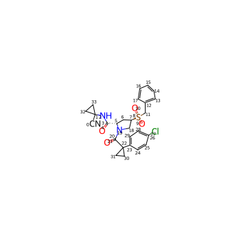 N#CC1(NC(=O)[C@@H]2C[C@@H](S(=O)(=O)Cc3ccccc3)CN2C(=O)C2(c3ccc(Cl)cc3)CC2)CC1